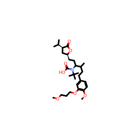 COCCCOc1cc(CCC(C)C(CC[C@H]2C[C@@H](C(C)C)C(=O)O2)N(C(=O)O)C(C)(C)C)ccc1OC